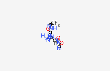 N[N+]12C=CN=CC1=C([C@@H]1CC[C@H]3CN(C(=O)c4ccncc4)CC(=O)N3C1)N=C2c1ccc(C(=O)Nc2cc(C(F)(F)F)ccn2)cc1